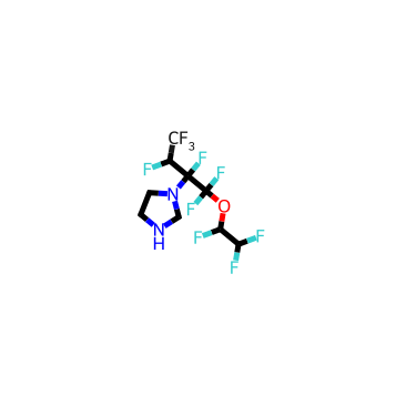 FC(F)C(F)OC(F)(F)C(F)(C(F)C(F)(F)F)N1CCNC1